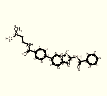 CN(C)CCNC(=O)c1ccc(-c2ccc3nc(NC(=O)c4ccccc4)nn3c2)cc1